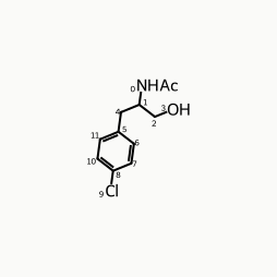 CC(=O)NC(CO)Cc1ccc(Cl)cc1